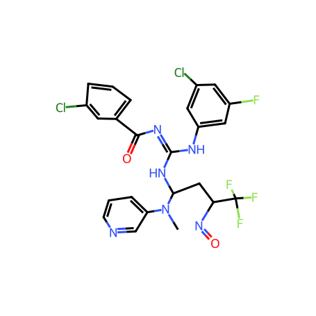 CN(c1cccnc1)C(CC(N=O)C(F)(F)F)N/C(=N\C(=O)c1cccc(Cl)c1)Nc1cc(F)cc(Cl)c1